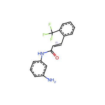 Nc1cccc(NC(=O)/C=C/c2ccccc2C(F)(F)F)c1